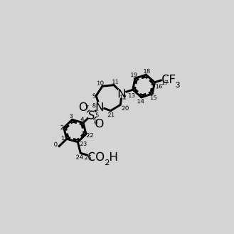 Cc1ccc(S(=O)(=O)N2CCCN(c3ccc(C(F)(F)F)cc3)CC2)cc1CC(=O)O